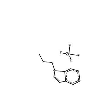 CCC[C]1C=Cc2ccccc21.[F][Zr]([F])([F])[F]